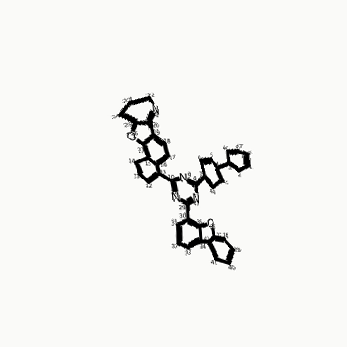 c1ccc(-c2ccc(-c3nc(-c4cccc5c4ccc4c6ncccc6oc54)nc(-c4cccc5c4oc4ccccc45)n3)cc2)cc1